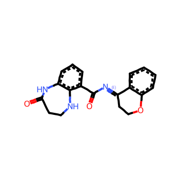 O=C1CCNc2c(cccc2C(=O)/N=C2\CCOc3ccccc32)N1